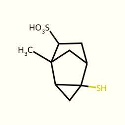 CC12CC(CC1S(=O)(=O)O)C1(S)CC21